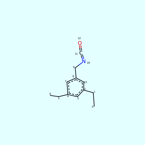 CCc1cc(CC)cc(CN=C=O)c1